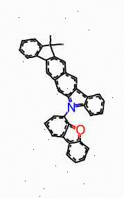 CC1(C)c2ccccc2-c2cc3cc4c(cc3cc21)c1ccccc1n4-c1cccc2c1oc1ccccc12